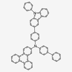 c1ccc(-c2ccc(N(c3ccc(-c4ccc5c(c4)c4ccccc4n5-c4ccccc4)cc3)c3ccc4c5ccccc5c5ccccc5c4c3)cc2)cc1